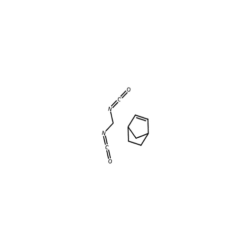 C1=CC2CCC1C2.O=C=NCN=C=O